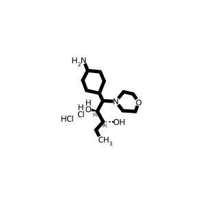 CC[C@@H](O)[C@@H](O)C(C1CCC(N)CC1)N1CCOCC1.Cl.Cl